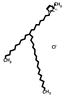 CCCCCCCCCCCCCCCCCCC(CCCCCCCCCC)CCCCCCCCN1[C+]N(C)C=C1.[Cl-]